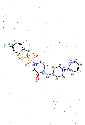 O=C1CN(S(=O)(=O)c2cc3ccc(Cl)cc3s2)CCN1CC1CCN(c2ccccn2)CC1